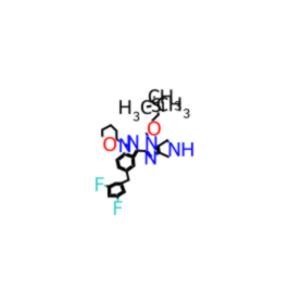 C[Si](C)(C)CCOCn1c(-c2nn(C3CCCCO3)c3ccc(Cc4cc(F)cc(F)c4)cc23)nc2c1CNC2